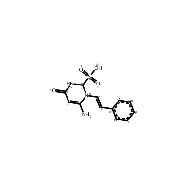 NC1=CC(=O)NC(S(=O)(=O)O)N1C=Cc1ccccc1